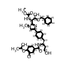 COC(=O)N[C@H](c1nc(-c2ccc(C[C@@H](CCO)NC(=O)c3ccc(OC(C)C)c(Cl)c3)cc2)cn1C)[C@H](C)OCc1ccccc1